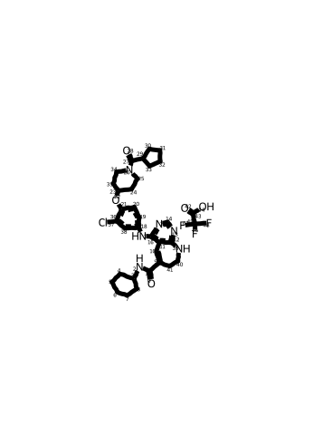 O=C(NC1CCCCC1)C1=Cc2c(ncnc2Nc2ccc(OC3CCN(C(=O)C4CCCC4)CC3)c(Cl)c2)NCC1.O=C(O)C(F)(F)F